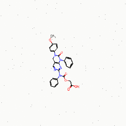 COc1ccc(N2Cc3cnc(N(C(=O)OCC(=O)O)c4ccccc4)nc3N(c3ccccc3)C2=O)cc1